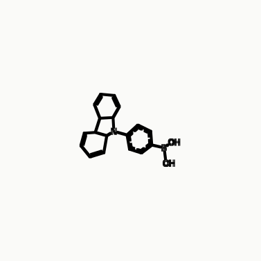 OB(O)c1ccc(N2C3C=CC=CC3C3C=CC=CC32)cc1